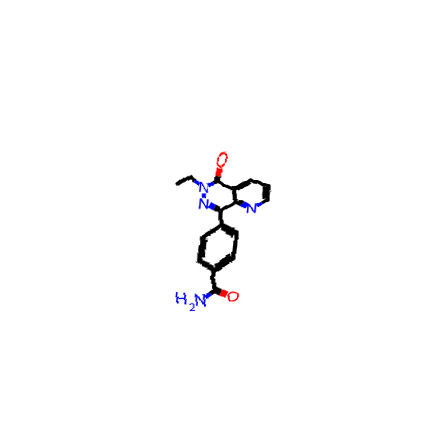 CCn1nc(-c2ccc(C(N)=O)cc2)c2ncccc2c1=O